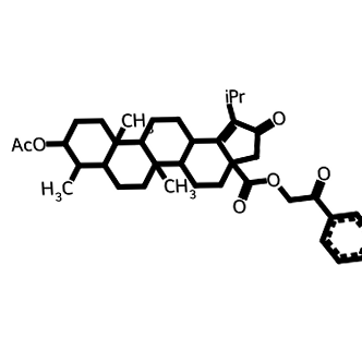 CC(=O)OC1CCC2(C)C(CCC3(C)C4CCC5(C(=O)OCC(=O)c6ccccc6)CC(=O)C(C(C)C)=C5C4CCC32)C1C